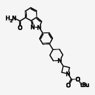 CC(C)(C)OC(=O)N1CC(N2CCC(c3ccc(-n4cc5cccc(C(N)=O)c5n4)cc3)CC2)C1